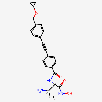 C[C@@H](N)[C@H](NC(=O)c1ccc(C#Cc2ccc(COC3CC3)cc2)cc1)C(=O)NO